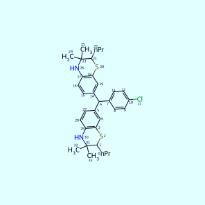 CCCC1Sc2cc(C(c3ccc(Cl)cc3)c3ccc4c(c3)SC(CCC)C(C)(C)N4)ccc2NC1(C)C